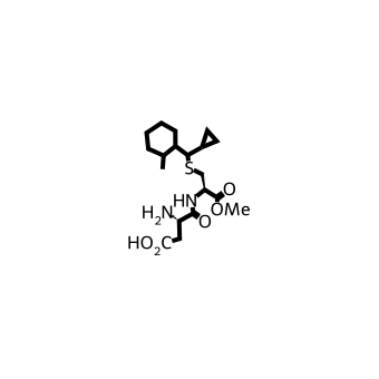 COC(=O)[C@H](CSC(C1CC1)C1CCCCC1C)NC(=O)[C@@H](N)CC(=O)O